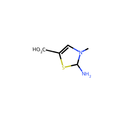 CN1C=C(C(=O)O)SC1N